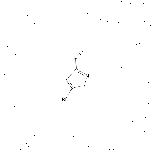 COc1cc(Br)sn1